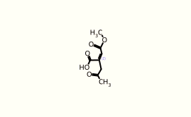 COC(=O)/C=C(/CC(C)=O)C(=O)O